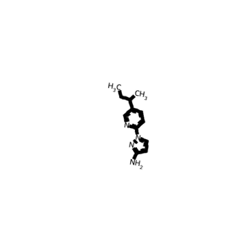 CCC(C)c1ccc(-n2ccc(N)n2)nc1